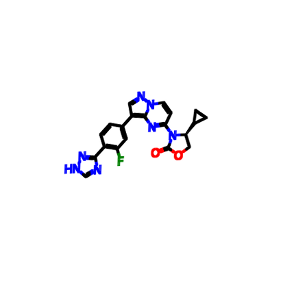 O=C1OC[C@H](C2CC2)N1c1ccn2ncc(-c3ccc(-c4nc[nH]n4)c(F)c3)c2n1